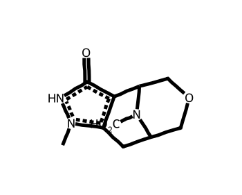 Cn1[nH]c(=O)c2c1CC1COCC2N1C(=O)O